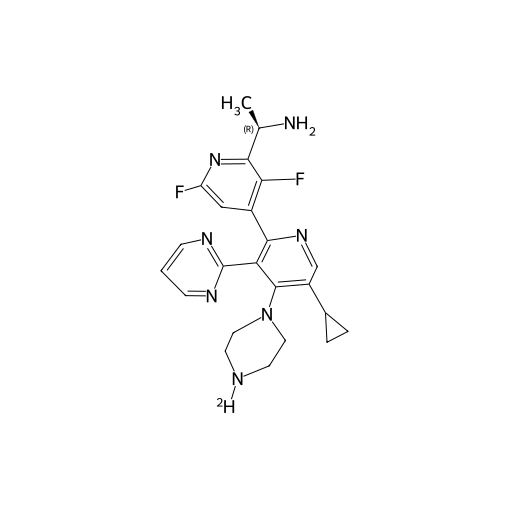 [2H]N1CCN(c2c(C3CC3)cnc(-c3cc(F)nc([C@@H](C)N)c3F)c2-c2ncccn2)CC1